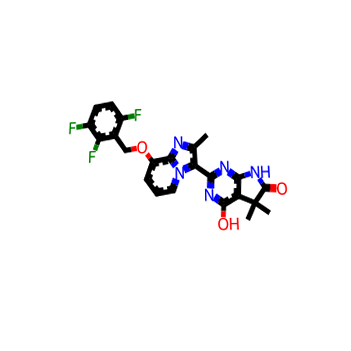 Cc1nc2c(OCc3c(F)ccc(F)c3F)cccn2c1-c1nc(O)c2c(n1)NC(=O)C2(C)C